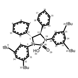 CC(C)(C)c1cc(N2[C@H](c3ccccc3)[C@@H](c3ccccc3)N(c3cc(C(C)(C)C)cc(C(C)(C)C)c3)P2(=O)O)cc(C(C)(C)C)c1